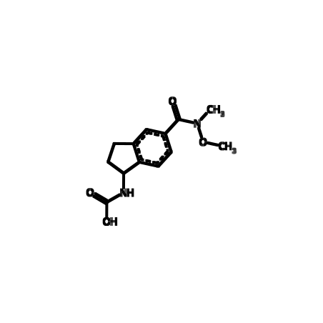 CON(C)C(=O)c1ccc2c(c1)CCC2NC(=O)O